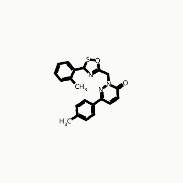 Cc1ccc(-c2ccc(=O)n(CC3=NC(c4ccccc4C)SO3)n2)cc1